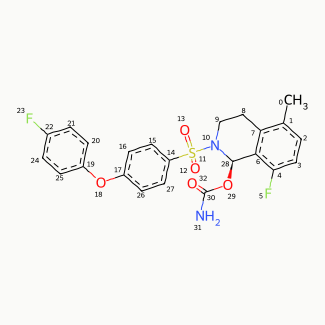 Cc1ccc(F)c2c1CCN(S(=O)(=O)c1ccc(Oc3ccc(F)cc3)cc1)[C@@H]2OC(N)=O